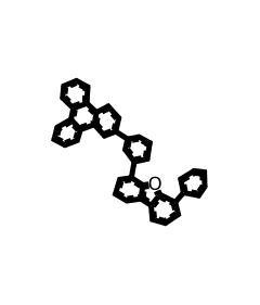 c1ccc(-c2cccc3c2oc2c(-c4cccc(-c5ccc6c7ccccc7c7ccccc7c6c5)c4)cccc23)cc1